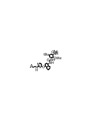 COc1c(NC(=O)Nc2ccc(Oc3ccnc(NCCN(C)C)n3)c3ccccc23)cc(C(C)(C)C)cc1NS(C)(=O)=O